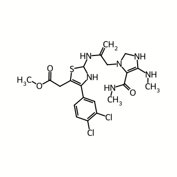 C=C(CN1CNC(NC)=C1C(=O)NC)NC1NC(c2ccc(Cl)c(Cl)c2)=C(CC(=O)OC)S1